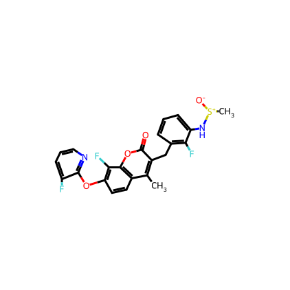 Cc1c(Cc2cccc(N[S+](C)[O-])c2F)c(=O)oc2c(F)c(Oc3ncccc3F)ccc12